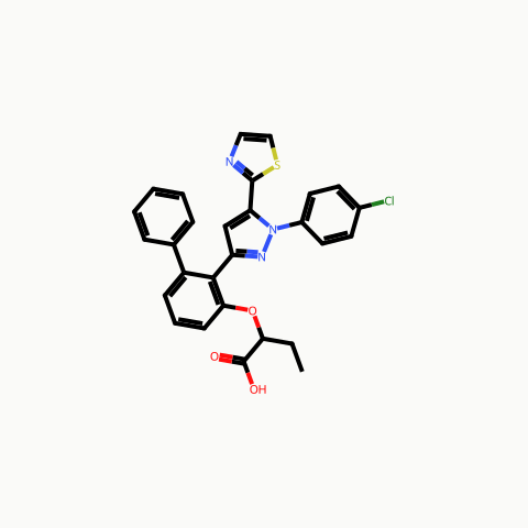 CCC(Oc1cccc(-c2ccccc2)c1-c1cc(-c2nccs2)n(-c2ccc(Cl)cc2)n1)C(=O)O